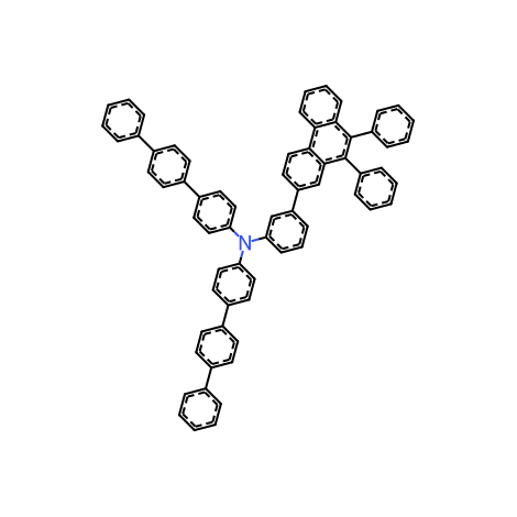 c1ccc(-c2ccc(-c3ccc(N(c4ccc(-c5ccc(-c6ccccc6)cc5)cc4)c4cccc(-c5ccc6c(c5)c(-c5ccccc5)c(-c5ccccc5)c5ccccc56)c4)cc3)cc2)cc1